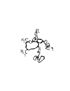 CCOCOc1cc2c(c(OCOCC)c1)C(=O)O[C@H](C)C/C=C/[C@H](C)C/C=C/C(=NOCC(=O)N1CCCCC1)C2